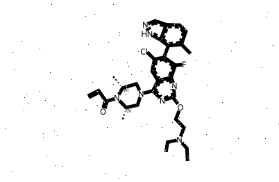 C=CC(=O)N1[C@H](C)CN(c2nc(OCCN(CC)CC)nc3c(F)c(-c4c(C)ccc5cn[nH]c45)c(Cl)cc23)C[C@@H]1C